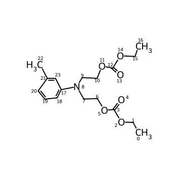 CCOC(=O)OCCN(CCOC(=O)OCC)c1cccc(C)c1